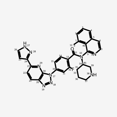 Cc1cccc2ccnc(N(C(=O)c3ccc(-n4nnc5ccc(-c6cc[nH]n6)nc54)cc3F)[C@@H]3CCCNC3)c12